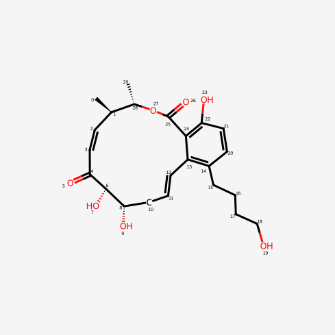 C[C@@H]1/C=C\C(=O)[C@@H](O)[C@@H](O)C/C=C/c2c(CCCCO)ccc(O)c2C(=O)O[C@H]1C